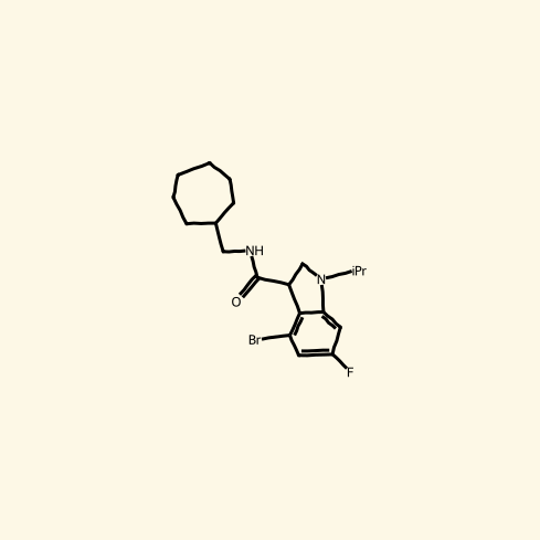 CC(C)N1CC(C(=O)NCC2CCCCCC2)c2c(Br)cc(F)cc21